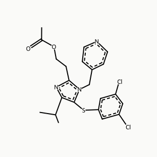 CC(=O)OCCc1nc(C(C)C)c(Sc2cc(Cl)cc(Cl)c2)n1Cc1ccncc1